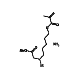 C=C(C)C(=O)OCCCCCC(CC)CC(=O)OC.N